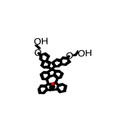 OCCOc1ccc2cc(C3(c4ccc5cc(OCCO)ccc5c4)c4cccc(-c5cccc6ccccc56)c4-c4c(-c5cccc6ccccc56)cccc43)ccc2c1